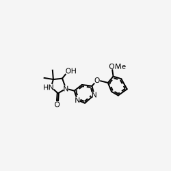 COc1ccccc1Oc1cc(N2C(=O)NC(C)(C)C2O)ncn1